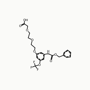 O=C(O)COCCOCCOc1cc(NC(=O)OCc2ccccc2)cc(OC(F)(F)F)c1